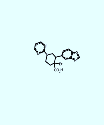 CCC1(C(=O)O)CCN(c2ncccn2)CC1c1ccc2scnc2c1